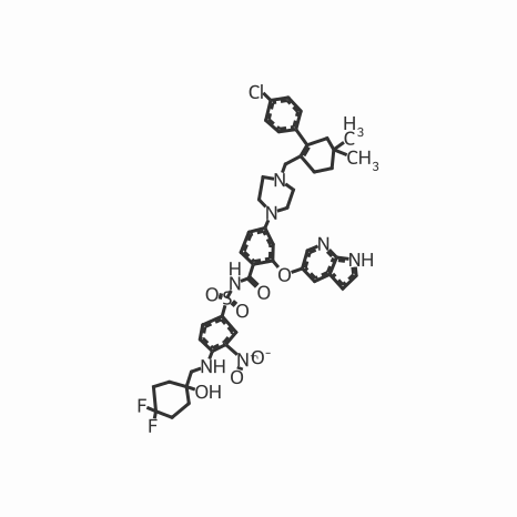 CC1(C)CCC(CN2CCN(c3ccc(C(=O)NS(=O)(=O)c4ccc(NCC5(O)CCC(F)(F)CC5)c([N+](=O)[O-])c4)c(Oc4cnc5[nH]ccc5c4)c3)CC2)=C(c2ccc(Cl)cc2)C1